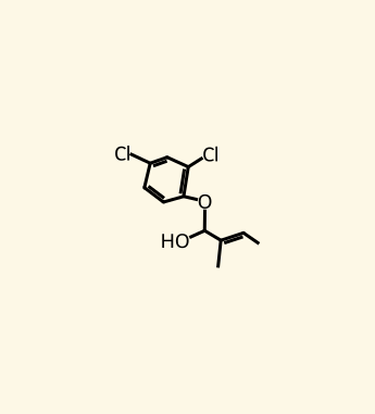 CC=C(C)C(O)Oc1ccc(Cl)cc1Cl